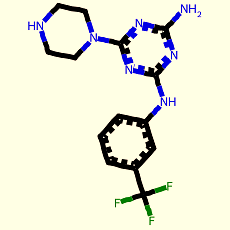 Nc1nc(Nc2cccc(C(F)(F)F)c2)nc(N2CCNCC2)n1